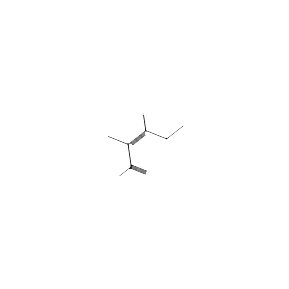 [CH2]CC(O)=C(C)C(=O)O